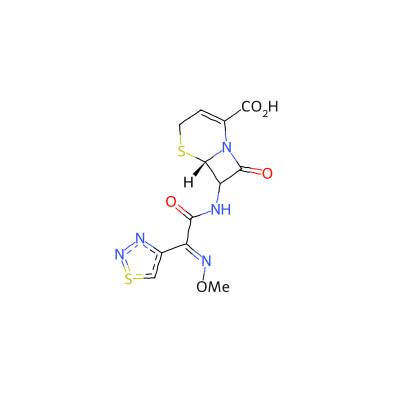 CON=C(C(=O)NC1C(=O)N2C(C(=O)O)=CCS[C@@H]12)c1csnn1